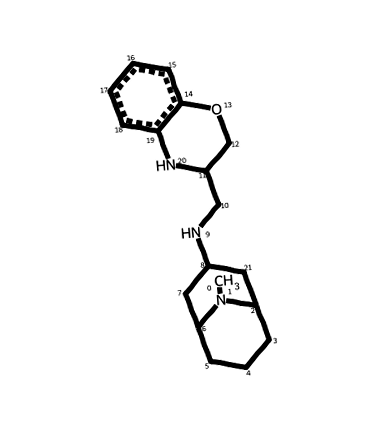 CN1C2CCCC1CC(NCC1COc3ccccc3N1)C2